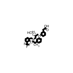 C[C@@H](COc1cccc(CC(=O)O)c1)CN(Cc1cccc(C(F)(F)F)c1Cl)C[C@H](C)c1ccccc1.Cl